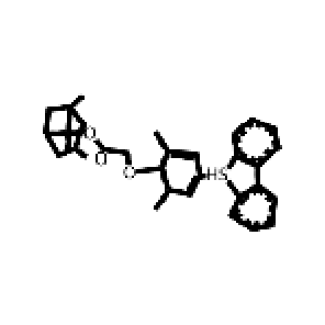 CC1=CC([SH]2c3ccccc3-c3ccccc32)=CC(C)C1OCC(=O)OC1(C)C2CC(C)CC1(C)C2